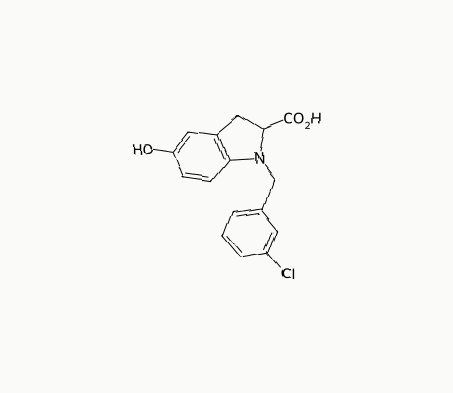 O=C(O)C1Cc2cc(O)ccc2N1Cc1cccc(Cl)c1